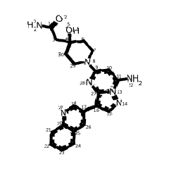 NC(=O)CC1(O)CCN(c2cc(N)n3ncc(-c4cnc5ccccc5c4)c3n2)CC1